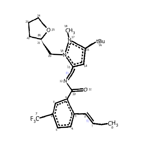 C/C=C/c1ccc(C(F)(F)F)cc1C(=O)/N=c1\cc(C(C)(C)C)n(C)n1C[C@H]1CCCO1